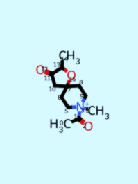 CC(=O)[N+]1(C)CCC2(CC1)CC(=O)C(C)O2